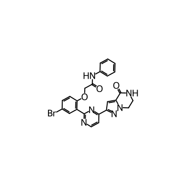 O=C(COc1ccc(Br)cc1-c1nccc(-c2cc3n(n2)CCNC3=O)n1)Nc1ccccc1